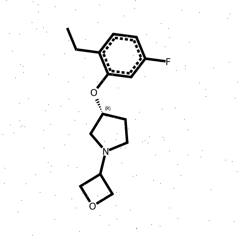 CCc1ccc(F)cc1O[C@@H]1CCN(C2COC2)C1